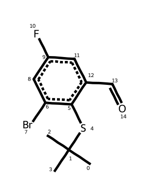 CC(C)(C)Sc1c(Br)cc(F)cc1C=O